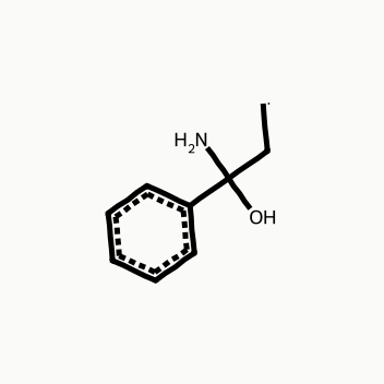 [CH2]CC(N)(O)c1ccccc1